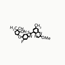 COc1cnc2c(-c3nc4cc(F)c(O[C@@H]5CCC(C)(C)[C@@H]5O)cc4s3)cc(C)cc2n1